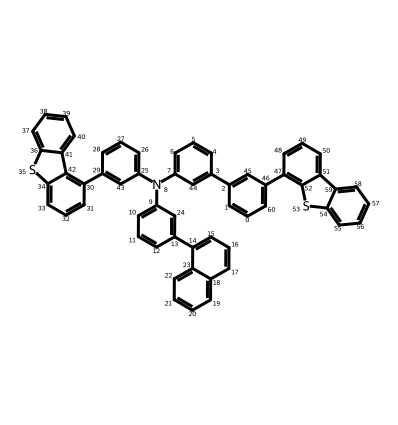 c1cc(-c2cccc(N(c3cccc(-c4cccc5ccccc45)c3)c3cccc(-c4cccc5sc6ccccc6c45)c3)c2)cc(-c2cccc3c2sc2ccccc23)c1